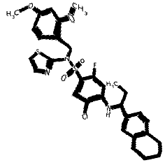 CCC(Nc1cc(F)c(S(=O)(=O)N(Cc2ccc(OC)cc2OC)c2nccs2)cc1Cl)c1ccc2c(c1)CCCC2